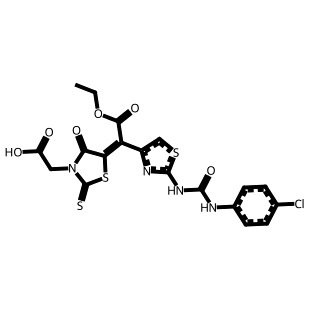 CCOC(=O)C(=C1SC(=S)N(CC(=O)O)C1=O)c1csc(NC(=O)Nc2ccc(Cl)cc2)n1